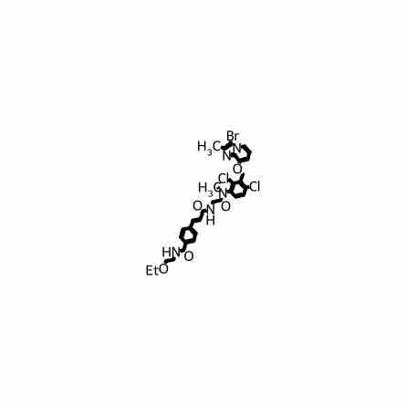 CCOCCNC(=O)c1ccc(/C=C/C(=O)NCC(=O)N(C)c2ccc(Cl)c(COc3cccn4c(Br)c(C)nc34)c2Cl)cc1